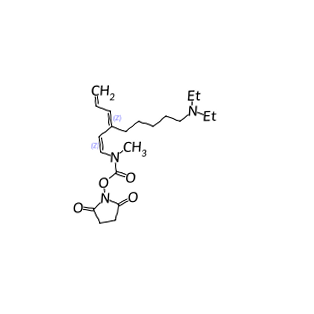 C=C/C=C(\C=C/N(C)C(=O)ON1C(=O)CCC1=O)CCCCCN(CC)CC